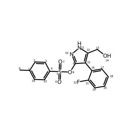 Cc1ccc(S(=O)(=O)Oc2n[nH]c(CO)c2-c2ccccc2F)cc1